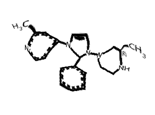 Cc1cc(N2C=CN(N3CCN[C@H](C)C3)C2c2ccccc2)ccn1